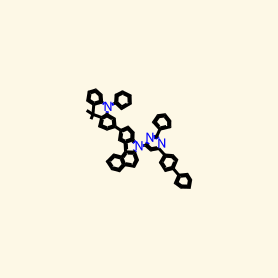 CC1(C)c2ccccc2N(c2ccccc2)c2cc(-c3ccc4c(c3)c3c5ccccc5ccc3n4-c3cc(-c4ccc(-c5ccccc5)cc4)nc(-c4ccccc4)n3)ccc21